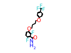 NC(=O)c1c(F)ccc(OCCCCOc2ccc(C(F)(F)F)cc2)c1F